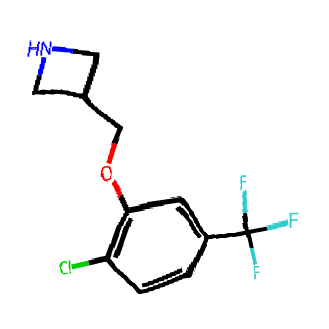 FC(F)(F)c1ccc(Cl)c(OCC2CNC2)c1